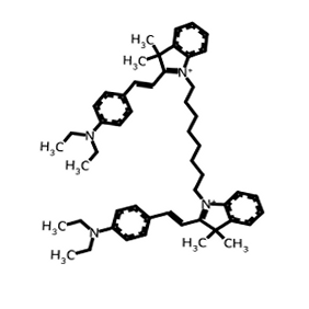 CCN(CC)c1ccc(/C=C/C2=[N+](CCCCCCCC[N+]3=C(/C=C/c4ccc(N(CC)CC)cc4)C(C)(C)c4ccccc43)c3ccccc3C2(C)C)cc1